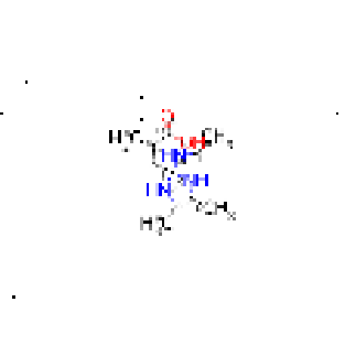 C=C(CC(NCC)(NCC)NCC)C(=O)O